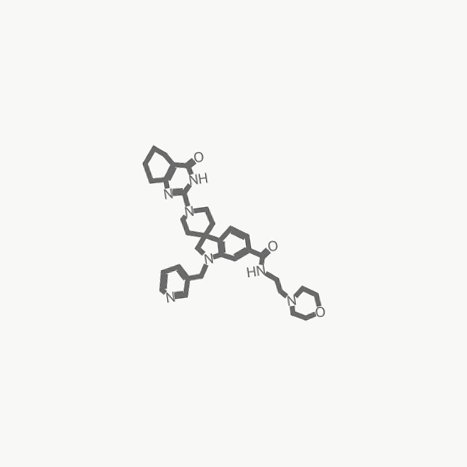 O=C(NCCN1CCOCC1)c1ccc2c(c1)N(Cc1cccnc1)CC21CCN(c2nc3c(c(=O)[nH]2)CCCC3)CC1